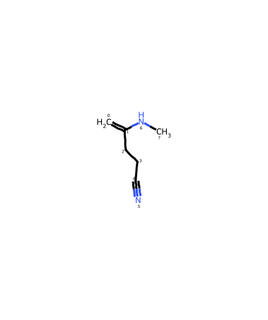 C=C(CCC#N)NC